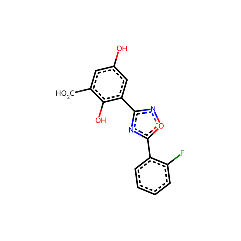 O=C(O)c1cc(O)cc(-c2noc(-c3ccccc3F)n2)c1O